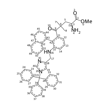 COC(=O)[C@@H](N)CC(C)(C)C(=O)c1cccc(NCc2cn(C(c3ccccc3)(c3ccccc3)c3ccccc3)cn2)c1-c1cccc2ccccc12